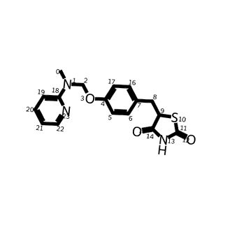 CN(COc1ccc(CC2SC(=O)NC2=O)cc1)c1ccccn1